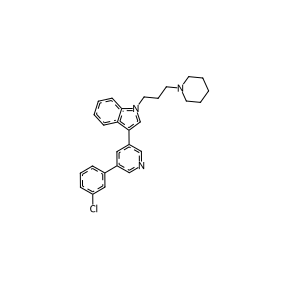 Clc1cccc(-c2cncc(-c3cn(CCCN4CCCCC4)c4ccccc34)c2)c1